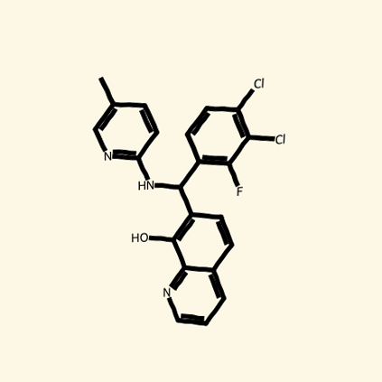 Cc1ccc(NC(c2ccc(Cl)c(Cl)c2F)c2ccc3cccnc3c2O)nc1